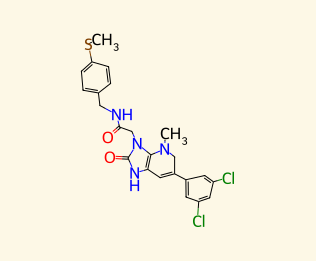 CSc1ccc(CNC(=O)Cn2c3c([nH]c2=O)C=C(c2cc(Cl)cc(Cl)c2)CN3C)cc1